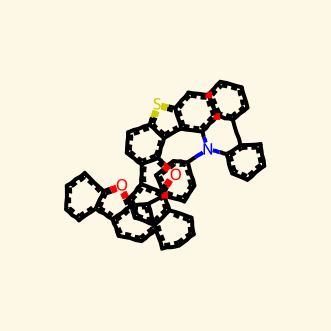 c1ccc(-c2ccccc2N(c2ccc(-c3cccc4c3oc3ccccc34)cc2)c2cccc3sc4ccc5c6ccc7ccccc7c6oc5c4c23)cc1